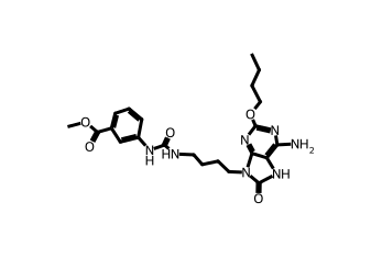 CCCCOc1nc(N)c2[nH]c(=O)n(CCCCNC(=O)Nc3cccc(C(=O)OC)c3)c2n1